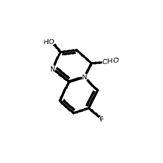 O=CC1C=C(O)N=C2C=CC(F)=CN21